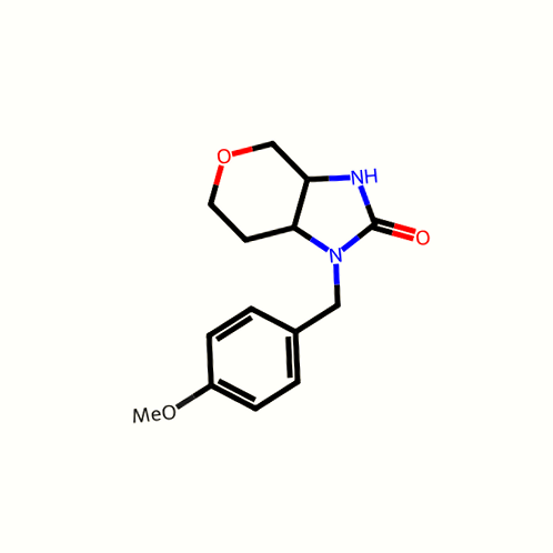 COc1ccc(CN2C(=O)NC3COCCC32)cc1